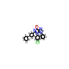 O=c1nc(-c2ccc(-c3ccccc3)cc2)n(-c2ccc(Cl)cc2)c2c1ncn2-c1ccccc1